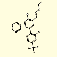 CCO/N=C/c1cc(-c2ncc(C(F)(F)F)cc2Cl)ccc1Cl.c1ccncc1